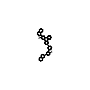 c1ccc2cc(-c3ccc4sc5ccc(-c6ccc7c(c6)c6ccccc6c6cc8c(cc76)sc6ccc7ccccc7c68)cc5c4c3)ccc2c1